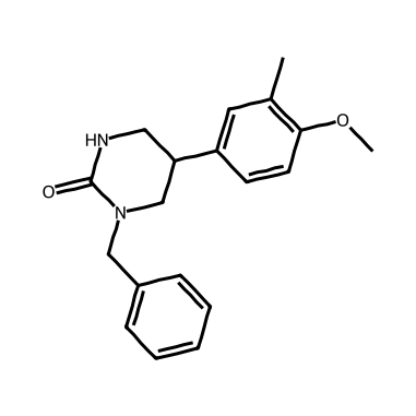 COc1ccc(C2CNC(=O)N(Cc3ccccc3)C2)cc1C